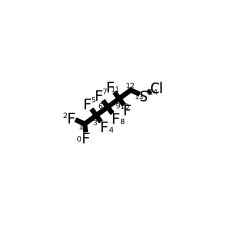 FC(F)C(F)(F)C(F)(F)C(F)(F)CSCl